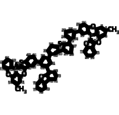 Cc1cc2c3c(c1)Oc1c(oc4ccccc14)P3c1cc(-c3cccc(-c4cccc5c4sc4ccc(-c6cc(-c7ccc8sc9c(c8c7)Oc7cc(C)cc8c7P9(=S)c7ccccc7O8)cc(-c7cccc8c7oc7ccccc78)c6)cc45)c3)ccc1O2